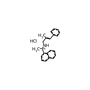 CC(=Cc1ccccc1)CN[C@H](C)c1cccc2ccccc12.Cl